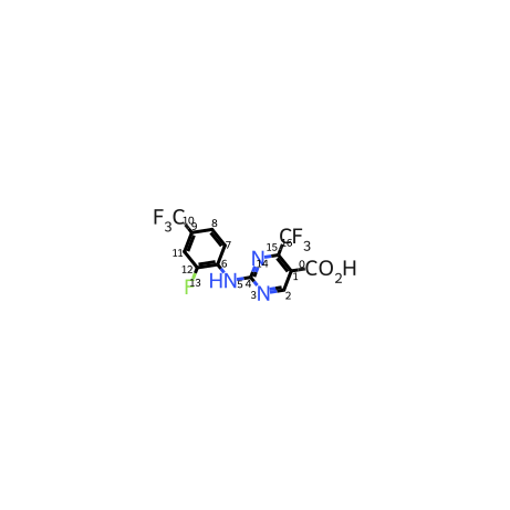 O=C(O)c1cnc(Nc2ccc(C(F)(F)F)cc2F)nc1C(F)(F)F